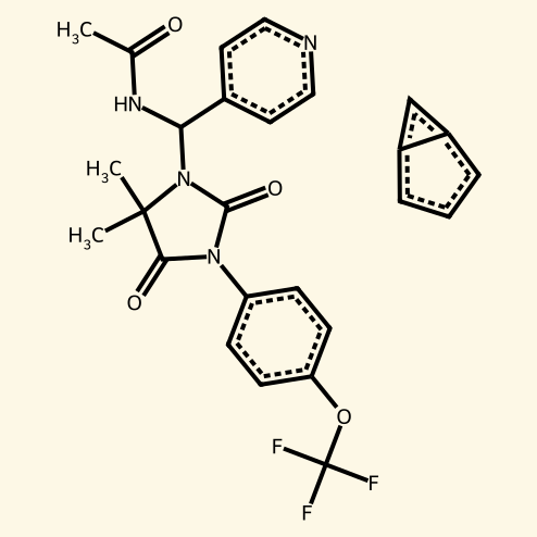 CC(=O)NC(c1ccncc1)N1C(=O)N(c2ccc(OC(F)(F)F)cc2)C(=O)C1(C)C.c1cc2cc-2c1